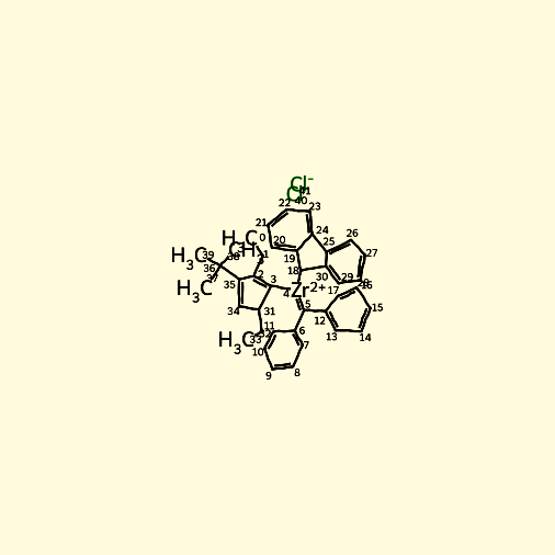 CCC1=[C]([Zr+2](=[C](c2ccccc2)c2ccccc2)[CH]2c3ccccc3-c3ccccc32)C(CC)C=C1C(C)(C)C.[Cl-].[Cl-]